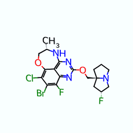 C[C@H]1COc2c(Cl)c(Br)c(F)c3nc(OC[C@@]45CCCN4C[C@H](F)C5)nc(c23)N1